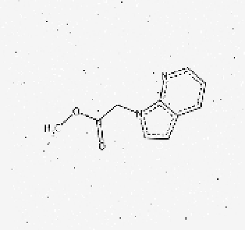 COC(=O)Cn1ccc2cccnc21